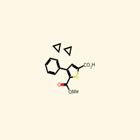 C1CC1.C1CC1.COC(=O)c1sc(C(=O)O)cc1-c1ccccc1